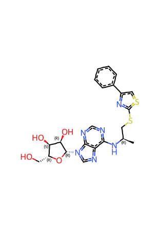 C[C@H](CSc1nc(-c2ccccc2)cs1)Nc1ncnc2c1ncn2[C@@H]1O[C@H](CO)[C@@H](O)[C@H]1O